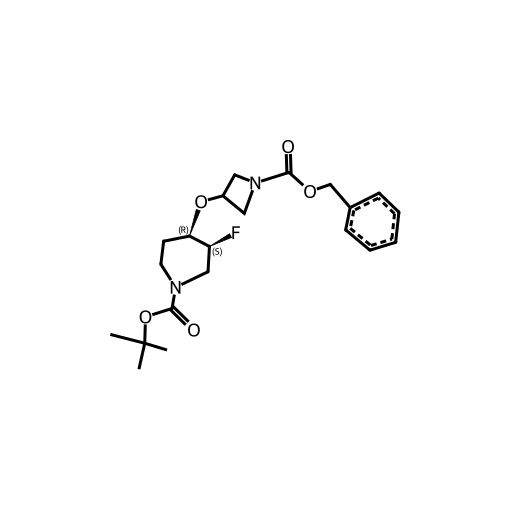 CC(C)(C)OC(=O)N1CC[C@@H](OC2CN(C(=O)OCc3ccccc3)C2)[C@@H](F)C1